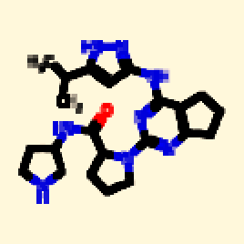 CC(C)c1cc(Nc2nc(N3CCCC3C(=O)NC3CCNC3)nc3c2CCC3)n[nH]1